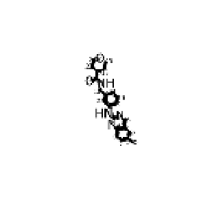 Cc1ccc2nc(Nc3cccc(CNC(=O)C4CCOCC4)c3)ncc2c1